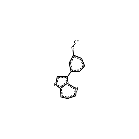 FC(F)(F)Oc1cccc(-c2cnc3cccnn23)c1